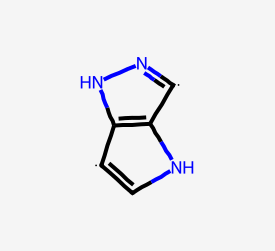 [c]1n[nH]c2[c]c[nH]c12